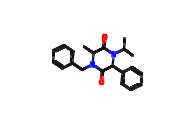 CC1C(=O)N(C(C)C)C(c2ccccc2)C(=O)N1Cc1ccccc1